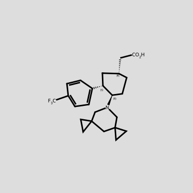 O=C(O)C[C@@H]1CC[C@@H](N2CC3(CC3)CC3(CC3)C2)[C@H](c2ccc(C(F)(F)F)cc2)C1